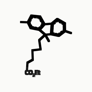 CCOC(=O)CCCCCC1(C)c2cc(C)ccc2-c2ccc(C)cc21